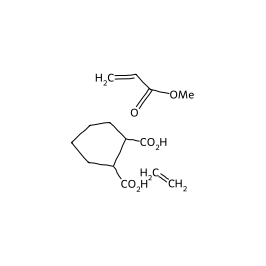 C=C.C=CC(=O)OC.O=C(O)C1CCCCC1C(=O)O